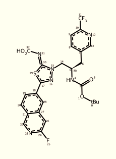 CC(C)(C)OC(=O)N[C@H](Cc1ccc(C(F)(F)F)nc1)Cn1nc(-c2ccc3cnc(F)cc3c2)sc1=NC(=O)O